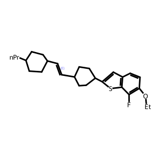 CCCC1CCC(/C=C/C2CCC(c3cc4ccc(OCC)c(F)c4s3)CC2)CC1